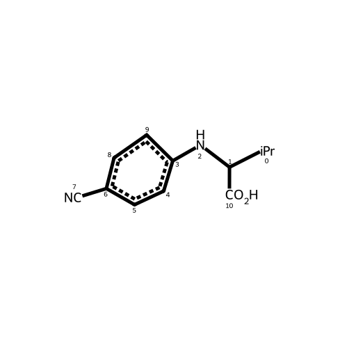 CC(C)C(Nc1ccc(C#N)cc1)C(=O)O